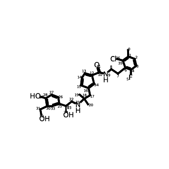 Cc1ccc(F)c(CCNC(=O)c2cccc(CC(C)(C)NC[C@@H](O)c3ccc(O)c(CO)c3)c2)c1Cl